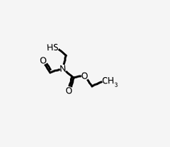 CCOC(=O)N(C=O)CS